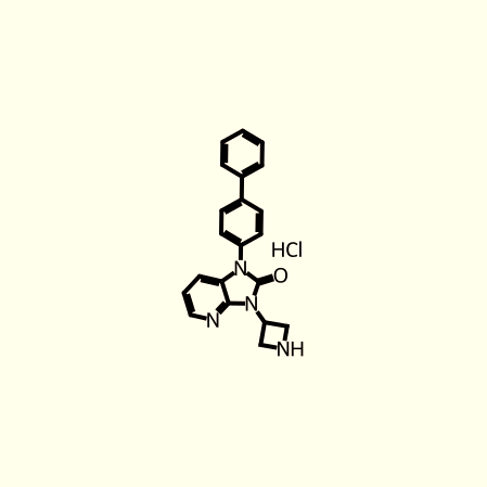 Cl.O=c1n(-c2ccc(-c3ccccc3)cc2)c2cccnc2n1C1CNC1